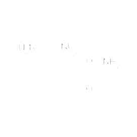 NOC(=O)c1cccc(N)c1N